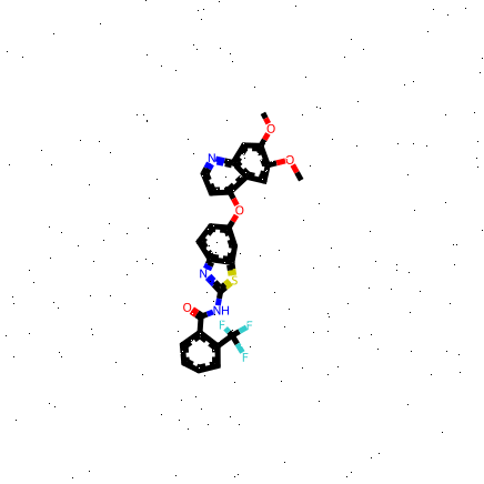 COc1cc2nccc(Oc3ccc4nc(NC(=O)c5ccccc5C(F)(F)F)sc4c3)c2cc1OC